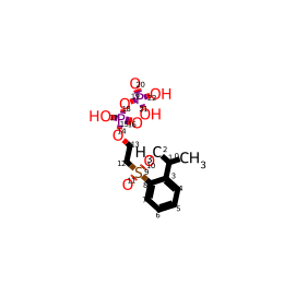 CC(C)c1ccccc1S(=O)(=O)CCOP(=O)(O)OP(=O)(O)O